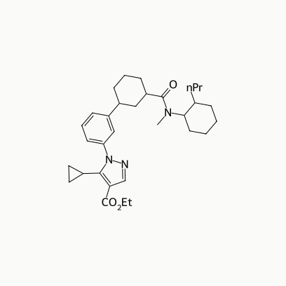 CCCC1CCCCC1N(C)C(=O)C1CCCC(c2cccc(-n3ncc(C(=O)OCC)c3C3CC3)c2)C1